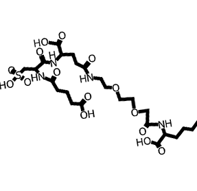 CCCCC(NC(=O)COCCOCCNC(=O)CCC(NC(=O)C(CS(=O)(=O)O)NC(=O)CCCC(=O)O)C(=O)O)C(=O)O